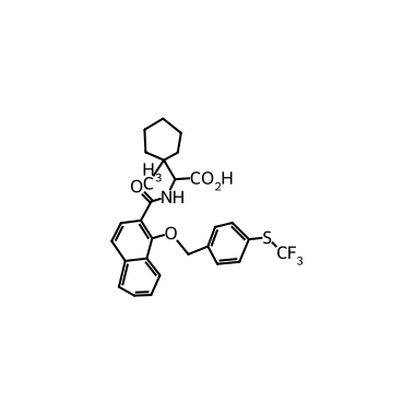 CC1(C(NC(=O)c2ccc3ccccc3c2OCc2ccc(SC(F)(F)F)cc2)C(=O)O)CCCCC1